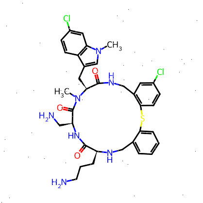 CN1C(=O)[C@H](CN)NC(=O)[C@H](CCCN)NCc2ccccc2Sc2ccc(Cl)cc2CNC(=O)[C@@H]1Cc1cn(C)c2cc(Cl)ccc12